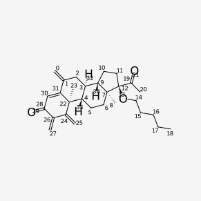 C=C1C[C@@H]2[C@H](CC[C@@]3(C)[C@H]2CC[C@]3(OCCCCC)C(C)=O)[C@@]2(C)C(=C)C(=C)C(=O)C=C12